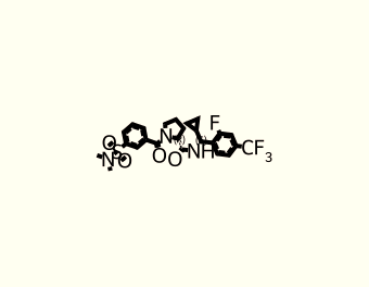 CN(C)S(=O)(=O)c1cccc(C(=O)N2CCC[C@@H]2C(=O)N[C@H](c2ccc(C(F)(F)F)cc2F)C2CC2)c1